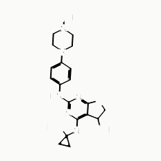 CC1CSc2nc(Nc3ccc(N4CCN(C)CC4)cc3)nc(NC3(C)CC3)c21